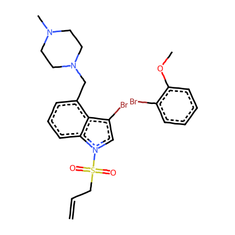 C=CCS(=O)(=O)n1cc(Br)c2c(CN3CCN(C)CC3)cccc21.COc1ccccc1Br